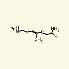 CCC(N)CO/C(C)=C/CCNC(C)C